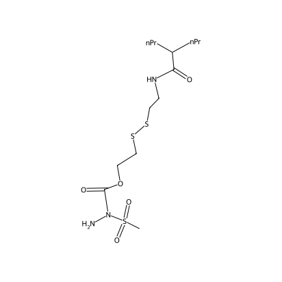 CCCC(CCC)C(=O)NCCSSCCOC(=O)N(N)S(C)(=O)=O